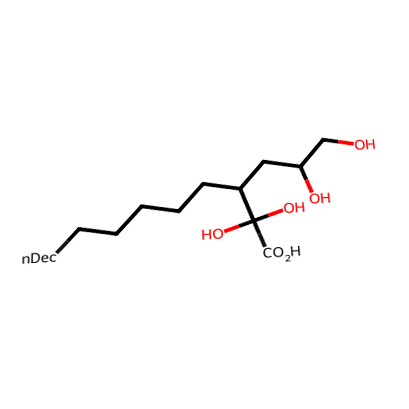 CCCCCCCCCCCCCCCC(CC(O)CO)C(O)(O)C(=O)O